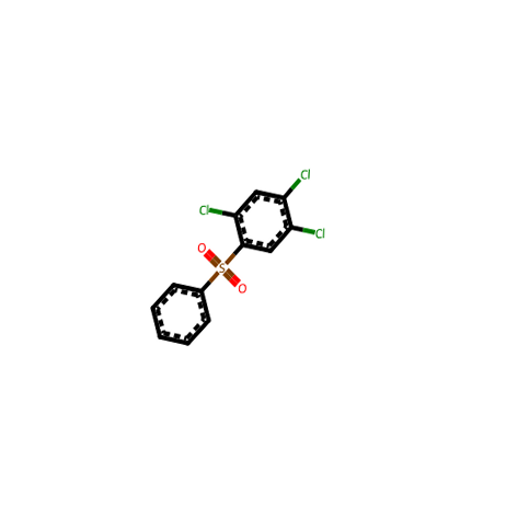 O=S(=O)(c1ccccc1)c1cc(Cl)c(Cl)cc1Cl